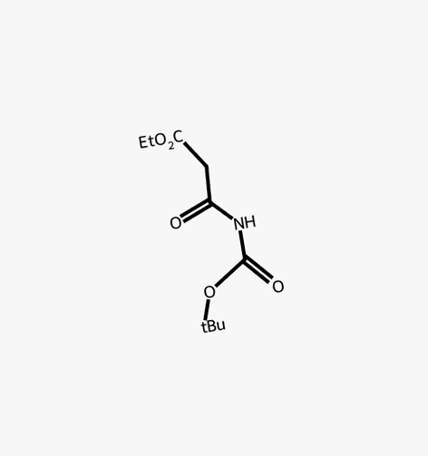 CCOC(=O)CC(=O)NC(=O)OC(C)(C)C